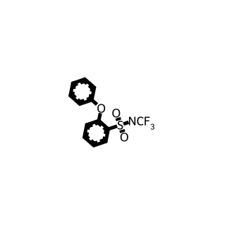 O=S(=O)(NC(F)(F)F)c1ccccc1Oc1ccccc1